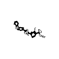 COC(=O)c1ccc(-c2noc(-c3ccc(-c4ccccc4C(F)(F)F)c(C)c3)n2)cc1F